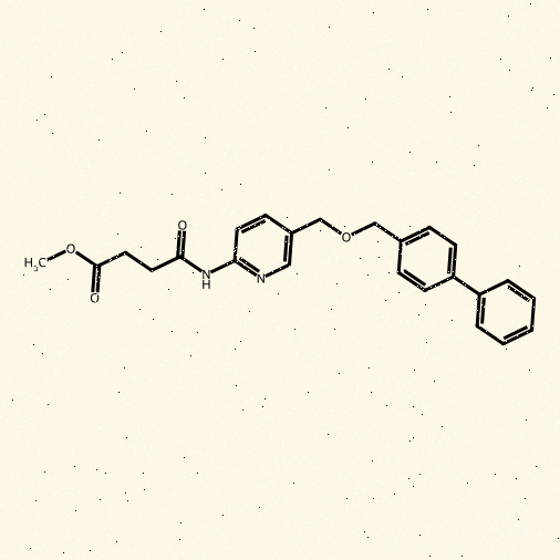 COC(=O)CCC(=O)Nc1ccc(COCc2ccc(-c3ccccc3)cc2)cn1